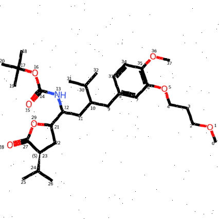 COCCCOc1cc(CC(CC(NC(=O)OC(C)(C)C)C2C[C@@H](C(C)C)C(=O)O2)C(C)C)ccc1OC